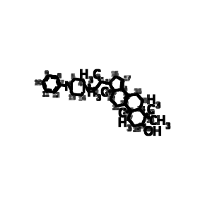 C[C@H](CN1CCN(c2ccccc2)CC1)[C@H]1CC=C2C3=C(CC[C@@]21C)[C@@]1(C)CCC(O)C(C)(C)C1CC3